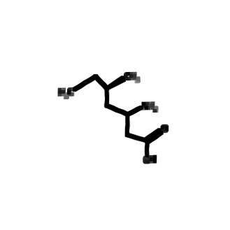 CC[C@@H](C)CC(N)CC(=O)O